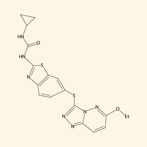 CCOc1ccc2nnc(Sc3ccc4nc(NC(=O)NC5CC5)sc4c3)n2n1